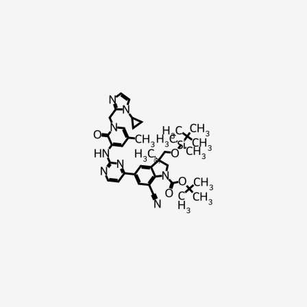 Cc1cc(Nc2nccc(-c3cc(C#N)c4c(c3)[C@@](C)(CO[Si](C)(C)C(C)(C)C)CN4C(=O)OC(C)(C)C)n2)c(=O)n(Cc2nccn2C2CC2)c1